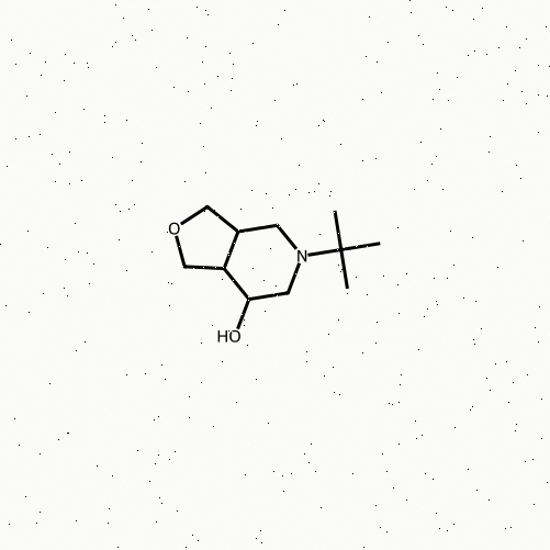 CC(C)(C)N1CC(O)C2COCC2C1